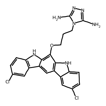 Nc1nnc(N)n1CCCOc1c2[nH]c3ccc(Cl)cc3c2cc2c1[nH]c1ccc(Cl)cc12